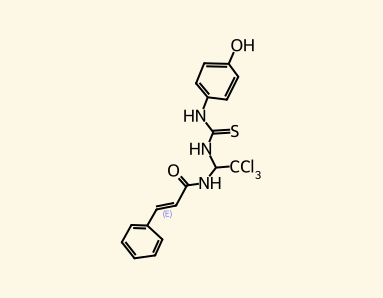 O=C(/C=C/c1ccccc1)NC(NC(=S)Nc1ccc(O)cc1)C(Cl)(Cl)Cl